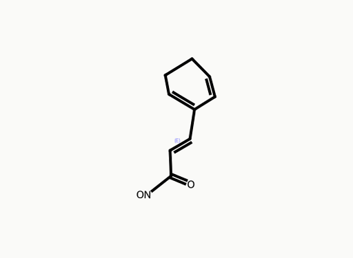 O=NC(=O)/C=C/C1=CCCC=C1